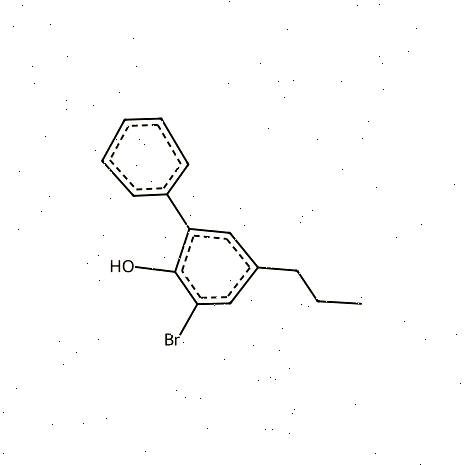 CCCc1cc(Br)c(O)c(-c2ccccc2)c1